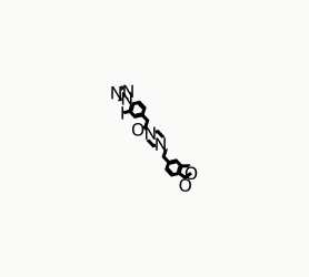 O=C1OCc2cc(CCN3CCN(C(=O)Cc4ccc(-n5cncn5)c(I)c4)CC3)ccc21